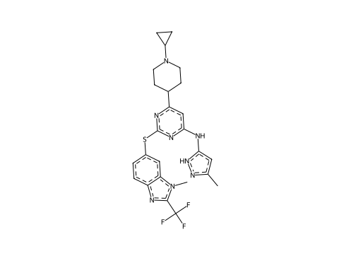 Cc1cc(Nc2cc(C3CCN(C4CC4)CC3)nc(Sc3ccc4nc(C(F)(F)F)n(C)c4c3)n2)[nH]n1